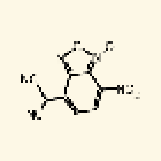 N#CC(C#N)c1ccc([N+](=O)[O-])c2c1no[n+]2[O-]